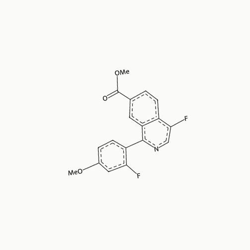 COC(=O)c1ccc2c(F)cnc(-c3ccc(OC)cc3F)c2c1